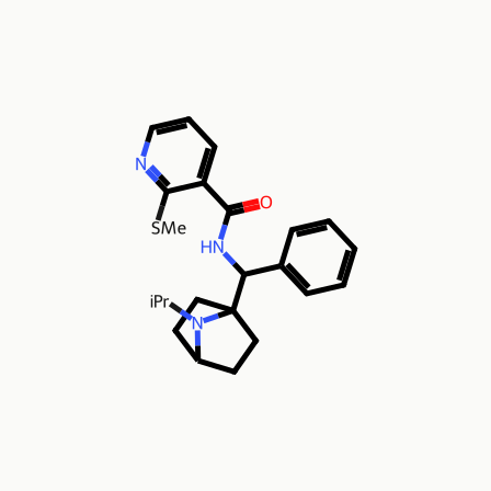 CSc1ncccc1C(=O)NC(c1ccccc1)C12CCC(CC1)N2C(C)C